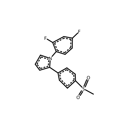 CS(=O)(=O)c1ccc(-c2cccn2-c2ccc(F)cc2F)cc1